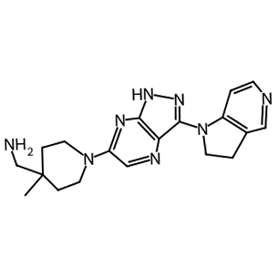 CC1(CN)CCN(c2cnc3c(N4CCc5cnccc54)n[nH]c3n2)CC1